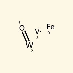 [Fe].[O]=[W].[V]